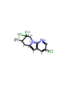 CC(C)C1Cc2cc3cc(Cl)cnc3n2CC1(F)F